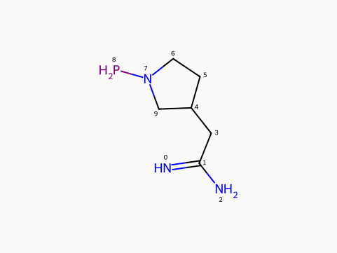 N=C(N)CC1CCN(P)C1